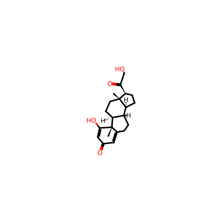 C[C@]12C(O)=CC(=O)C=C1CC[C@@H]1[C@@H]2CC[C@]2(C)[C@@H](C(=O)CO)CC[C@@H]12